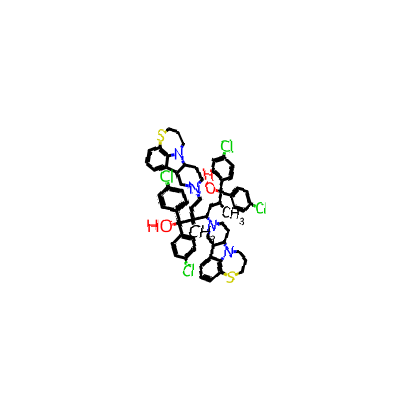 CC(CC(N1CCC2C(C1)c1cccc3c1N2CCCS3)C(C)(CCN1CCC2C(C1)c1cccc3c1N2CCCS3)C(O)(c1ccc(Cl)cc1)c1ccc(Cl)cc1)C(O)(c1ccc(Cl)cc1)c1ccc(Cl)cc1